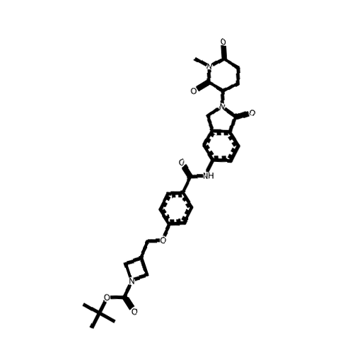 CN1C(=O)CCC(N2Cc3cc(NC(=O)c4ccc(OCC5CN(C(=O)OC(C)(C)C)C5)cc4)ccc3C2=O)C1=O